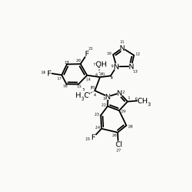 Cc1nn([C@H](C)[C@](O)(Cn2cncn2)c2ccc(F)cc2F)c2cc(F)c(Cl)cc12